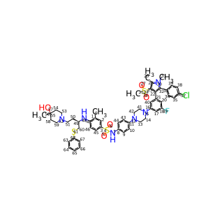 Cc1cc(S(=O)(=O)Nc2ccc(N3CCN(c4cc(F)cc(-c5c(S(C)(=O)=O)c(C)n(C)c5-c5ccc(Cl)cc5)c4)CC3)cc2)ccc1N[C@H](CCN1CCC(C)(O)CC1)CSc1ccccc1